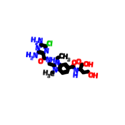 CCn1c(CNC(=O)c2nc(Cl)c(N)nc2N)[n+](C)c2ccc(C(=O)NC(CCO)C(=O)O)cc21